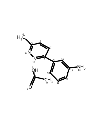 CC(=O)O.Cc1ccc(-c2cccc(N)c2)nn1